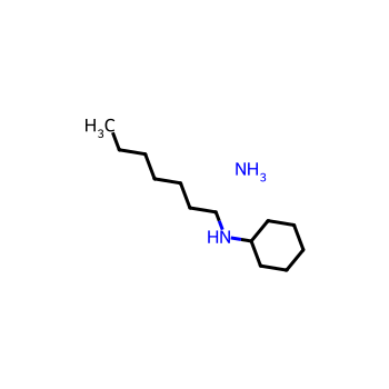 CCCCCCCNC1CCCCC1.N